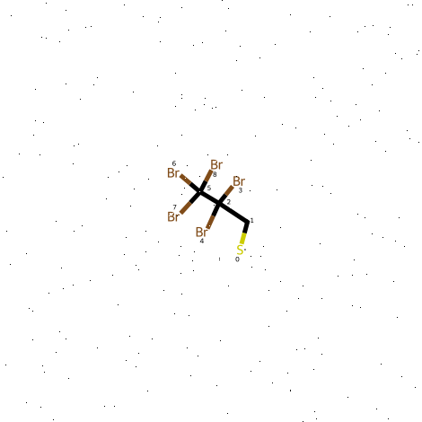 [S]CC(Br)(Br)C(Br)(Br)Br